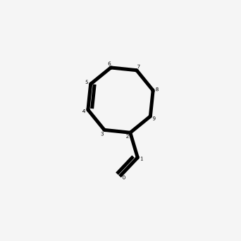 C=CC1CC=CCCCC1